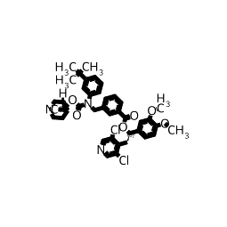 COc1ccc([C@H](Cc2c(Cl)cncc2Cl)OC(=O)c2cccc(CN(C(=O)O[C@H]3CN4CCC3CC4)c3cccc(C(C)(C)C)c3)c2)cc1OC